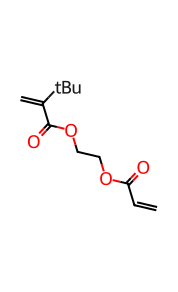 C=CC(=O)OCCOC(=O)C(=C)C(C)(C)C